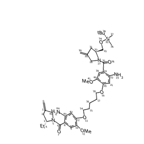 C=C1C[C@@H](CC)N(C(=O)c2cc(OC)c(OCCCCCOc3cc(N)c(C(=O)N4CC(=C)C[C@H]4CO[Si](C)(C)C(C)(C)C)cc3OC)cc2N)C1